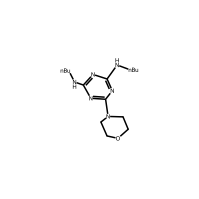 CCCCNc1nc(NCCCC)nc(N2CCOCC2)n1